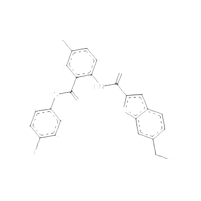 O=C(Nc1ccc(Cl)cc1C(=O)Nc1ccc(Cl)cc1)c1cc2ccc(CBr)cc2s1